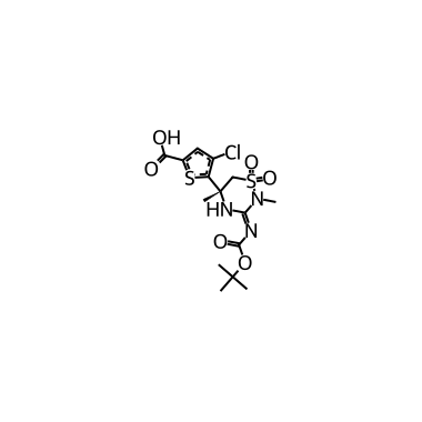 CN1/C(=N/C(=O)OC(C)(C)C)N[C@](C)(c2sc(C(=O)O)cc2Cl)CS1(=O)=O